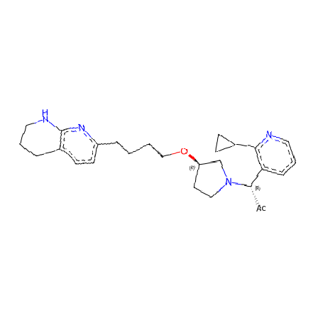 CC(=O)[C@@H](c1cccnc1C1CC1)N1CC[C@@H](OCCCCc2ccc3c(n2)NCCC3)C1